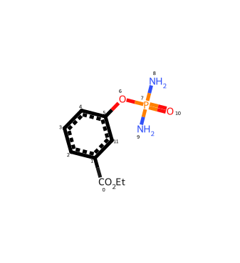 CCOC(=O)c1cccc(OP(N)(N)=O)c1